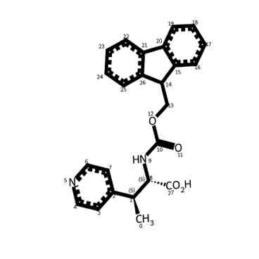 C[C@@H](c1ccncc1)[C@H](NC(=O)OCC1c2ccccc2-c2ccccc21)C(=O)O